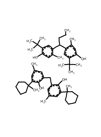 CCCC(c1cc(C(C)(C)C)c(O)cc1C)c1cc(C(C)(C)C)c(O)cc1C.Cc1cc(Cc2cc(C)cc(C3(C)CCCCC3)c2O)c(O)c(C2(C)CCCCC2)c1